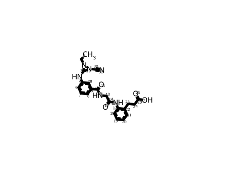 CCN1C(Nc2cccc(C(=O)NCC(=O)Nc3ccccc3CCC(=O)O)c2)N1C#N